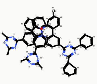 Cc1nc(C)nc(-c2ccc3c(c2)c2ccccc2n3-c2ccc(-c3nc(-c4ccccc4)nc(-c4ccccc4)n3)cc2-c2ccc(C#N)cc2-n2c3ccccc3c3cc(-c4nc(C)nc(C)n4)ccc32)n1